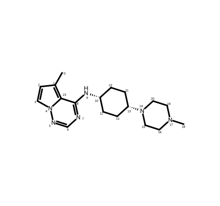 Cc1ccn2ncnc(N[C@H]3CC[C@@H](N4CCN(C)CC4)CC3)c12